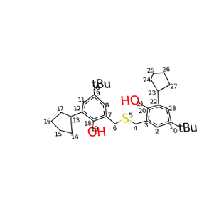 CC(C)(C)c1cc(CSCc2cc(C(C)(C)C)cc(C3CCCC3)c2O)c(O)c(C2CCCC2)c1